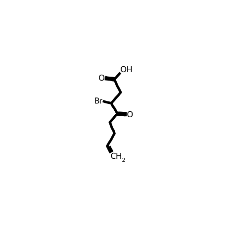 C=CCCC(=O)C(Br)CC(=O)O